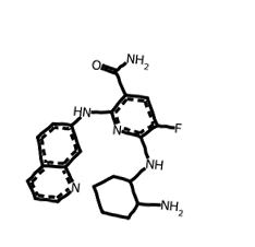 NC(=O)c1cc(F)c(NC2CCCCC2N)nc1Nc1ccc2cccnc2c1